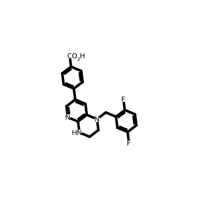 O=C(O)c1ccc(-c2cnc3c(c2)N(Cc2cc(F)ccc2F)CCN3)cc1